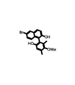 COc1c(C)cc(O)c(-c2c(O)ccc3cc(Br)ccc23)c1C